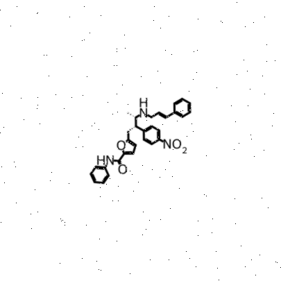 C[C@H](NCC=Cc1ccccc1)[C@@H](Cc1ccc(C(=O)Nc2ccccc2)o1)c1ccc([N+](=O)[O-])cc1